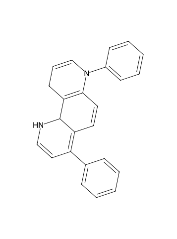 C1=CN(c2ccccc2)C2=C(C1)C1NC=CC(c3ccccc3)=C1C=C2